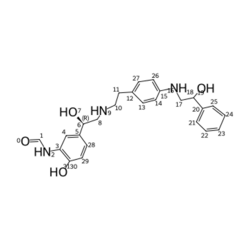 O=CNc1cc([C@@H](O)CNCCc2ccc(NCC(O)c3ccccc3)cc2)ccc1O